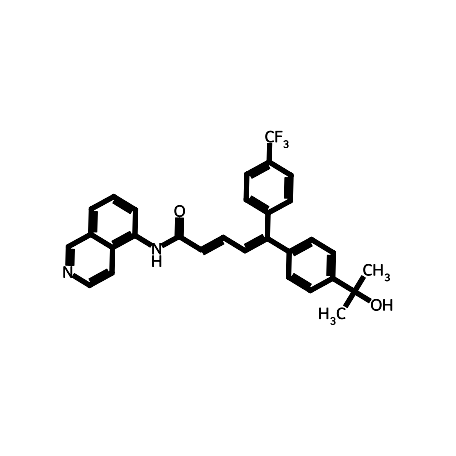 CC(C)(O)c1ccc(C(=CC=CC(=O)Nc2cccc3cnccc23)c2ccc(C(F)(F)F)cc2)cc1